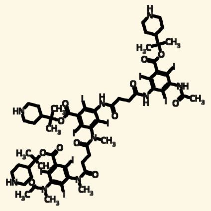 CC(=O)Nc1c(I)c(NC(=O)CCC(=O)Nc2c(I)c(C(=O)OC(C)(C)C3CCNCC3)c(I)c(N(C)C(=O)CCC(=O)N(C)c3c(I)c(C(=O)OC(C)(C)C4CCNCC4)c(I)c(N(C)C(C)=O)c3I)c2I)c(I)c(C(=O)OC(C)(C)C2CCNCC2)c1I